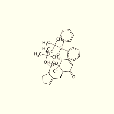 CC(C)(C)OC(=O)N1CCC=C1C[C@@H]1C(=O)C=C[C@@H](O[Si](c2ccccc2)(c2ccccc2)C(C)(C)C)C1(C)C